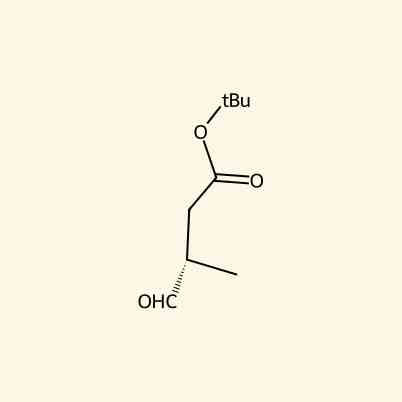 C[C@H](C=O)CC(=O)OC(C)(C)C